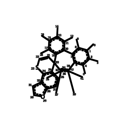 Cc1c(C)c(C)c2c(c1C)-c1c(C)c(C)c(C)c(C)c1C1(C=CSc3c1ccc1occc31)c1c(C)c(C)c(C)c(C)c1-2